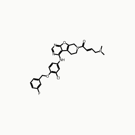 CN(C)CC=CC(=O)N1CCc2c(oc3ncnc(Nc4ccc(OCc5cccc(F)c5)c(Cl)c4)c23)C1